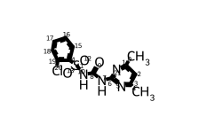 Cc1cc(C)nc(NC(=O)NS(=O)(=O)c2ccccc2Cl)n1